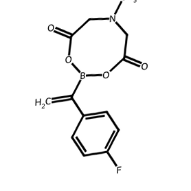 C=C(B1OC(=O)CN(C)CC(=O)O1)c1ccc(F)cc1